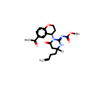 C=CCCC1(CC)CC(=O)N([C@@H]2CCOc3ccc(C(=O)OC)cc32)/C(=N/C(=O)OC(C)(C)C)N1